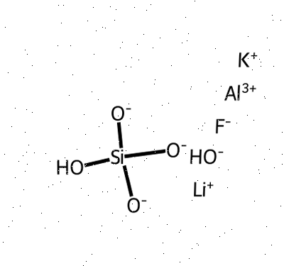 [Al+3].[F-].[K+].[Li+].[O-][Si]([O-])([O-])O.[OH-]